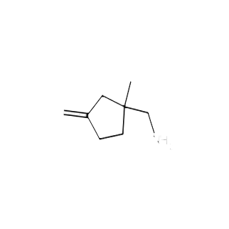 C=C1CCC(C)(CN)C1